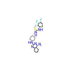 CN(C)c1nc(N[C@H]2CC[C@@H](CNC(=S)Nc3ccc(F)c(F)c3F)CC2)nc2ccccc12